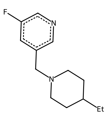 CCC1CCN(Cc2cncc(F)c2)CC1